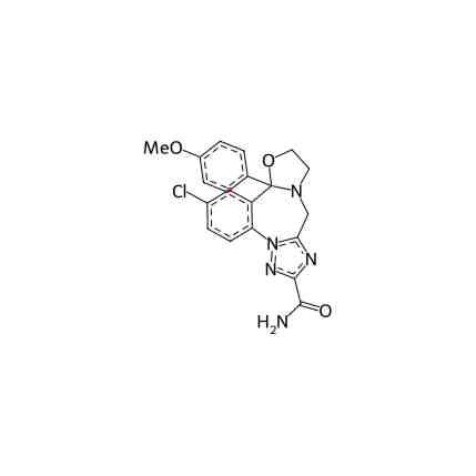 COc1ccc(C23OCCN2Cc2nc(C(N)=O)nn2-c2ccc(Cl)cc23)cc1